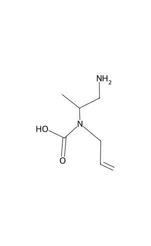 C=CCN(C(=O)O)C(C)CN